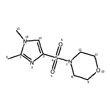 Cc1nc(S(=O)(=O)N2CCOCC2)cn1C